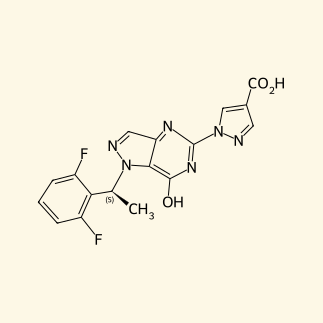 C[C@@H](c1c(F)cccc1F)n1ncc2nc(-n3cc(C(=O)O)cn3)nc(O)c21